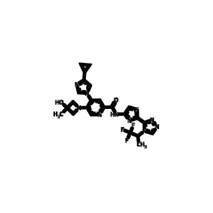 CC(n1cnnc1-c1nc(NC(=O)c2cc(-n3cnc(C4CC4)c3)c(N3CC(C)(O)C3)cn2)cs1)C(F)(F)F